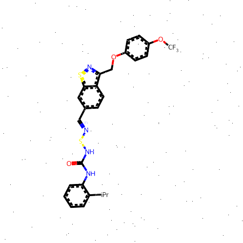 CC(C)c1ccccc1NC(=O)NS/N=C/c1ccc2c(COc3ccc(OC(F)(F)F)cc3)nsc2c1